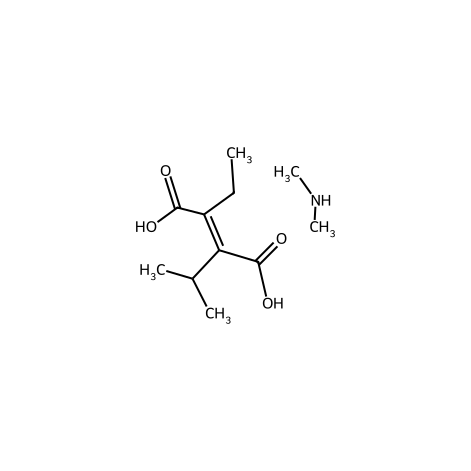 CCC(C(=O)O)=C(C(=O)O)C(C)C.CNC